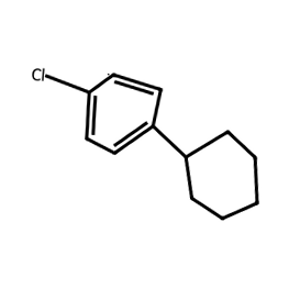 Clc1[c]cc(C2CCCCC2)cc1